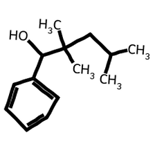 CC(C)CC(C)(C)C(O)c1ccccc1